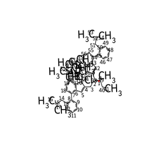 CCCCC1=Cc2c(-c3ccccc3CC(C)C)cccc2[CH]1[Zr]([Cl])([Cl])([BH]N([Si](C)(C)C)[Si](C)(C)C)[CH]1C(CCCC)=Cc2c(-c3ccccc3CC(C)C)cccc21